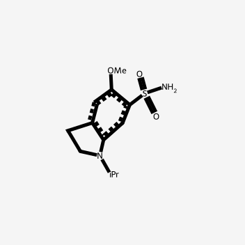 COc1cc2c(cc1S(N)(=O)=O)N(C(C)C)CC2